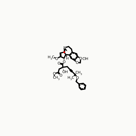 COC(=O)C[C@](O)(CC#CC(C)(C)OCc1ccccc1)C(=O)O[C@@H]1C(OC)=C[C@]23CCCN2CCc2cc4c(cc2[C@H]13)OCO4.Cl